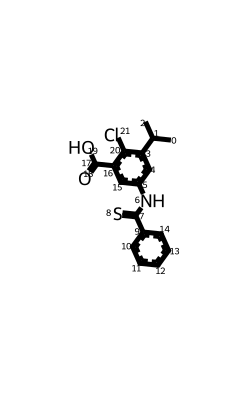 CC(C)c1cc(NC(=S)c2ccccc2)cc(C(=O)O)c1Cl